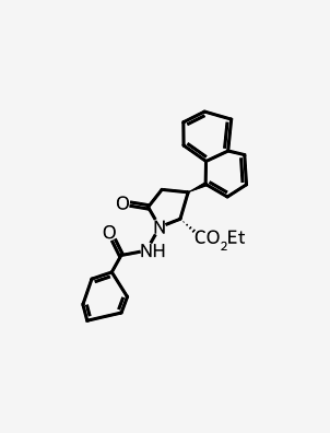 CCOC(=O)[C@H]1[C@H](c2cccc3ccccc23)CC(=O)N1NC(=O)c1ccccc1